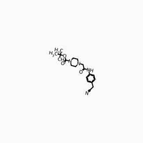 CC(C)(C)OC(=O)N1CCN(CC(=O)Nc2ccc(CC#N)cc2)CC1